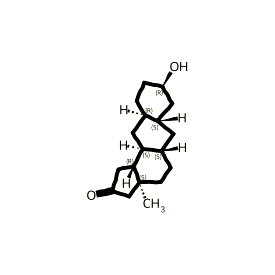 C[C@@]12CC[C@H]3C[C@H]4C[C@H](O)CC[C@@H]4C[C@@H]3[C@H]1CC(=O)C2